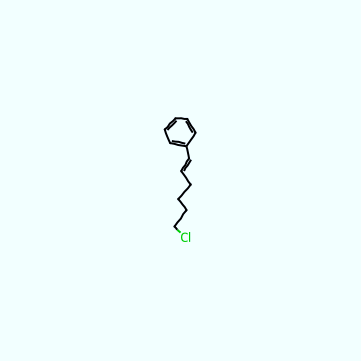 ClCCCC/C=C/c1ccccc1